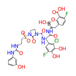 O=C(NCCS(=O)(=O)N1CCN(C(=O)NC(C(=O)N[C@H]2Cc3ccc(F)c(C(=O)O)c3OB2O)c2cc(F)c(O)c(O)c2Cl)C1=O)Nc1cccc(O)c1